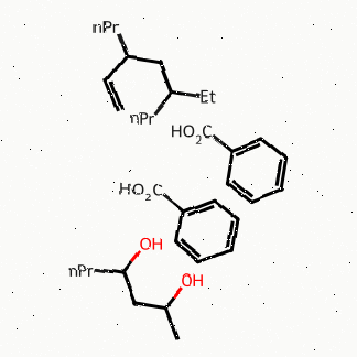 C=CC(CCC)CC(CC)CCC.CCCC(O)CC(C)O.O=C(O)c1ccccc1.O=C(O)c1ccccc1